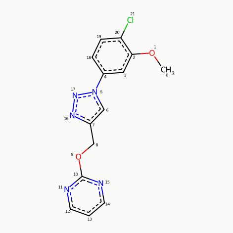 COc1cc(-n2cc(COc3ncccn3)nn2)ccc1Cl